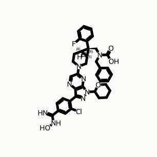 N=C(NO)c1ccc(-c2nn(C3CCCCO3)c3nc(N4CC[C@@H]5[C@H](C4)[C@@]5(CN(Cc4ccccc4)C(=O)O)c4ccccc4F)cnc23)c(Cl)c1